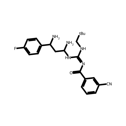 CC(C)(C)CN/C(=N/C(=O)c1cccc(C#N)c1)NC(N)CC(N)c1ccc(F)cc1